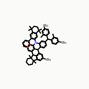 Cc1cc2c3c(c1)N(c1cc4c(cc1-c1ccccc1)C(C)(C)CCC4(C)C)c1cc(C(c4ccc(C(C)(C)C)cc4C)c4ccc(C(C)(C)C)cc4C)ccc1C3c1cc(C(C)(C)C)cc3c1C2C1(C)CCCCC31C